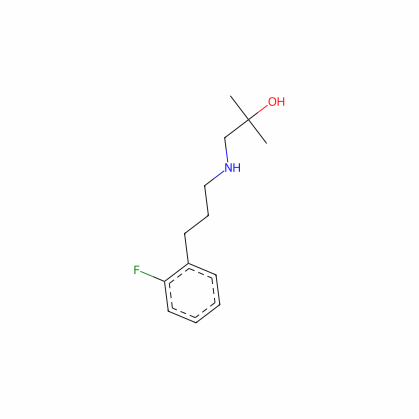 CC(C)(O)CNCCCc1ccccc1F